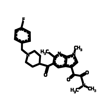 Cc1nc2c(cc1C(=O)C1CCN(Cc3ccc(F)cc3)CC1)c(C(=O)C(=O)N(C)C)cn2C